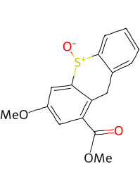 COC(=O)c1cc(OC)cc2c1Cc1ccccc1[S+]2[O-]